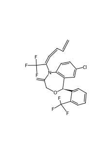 C=CC=C=C(N1C(=C)CO[C@H](c2ccccc2C(F)(F)F)c2cc(Cl)ccc21)C(F)(F)F